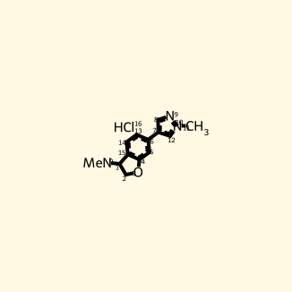 CNC1COc2cc(-c3cnn(C)c3)ccc21.Cl